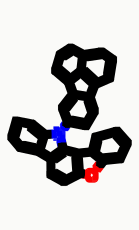 c1cc2c3c(cccc3c1)-c1cc(-n3c4ccccc4c4ccc5oc6ccccc6c5c43)ccc1-2